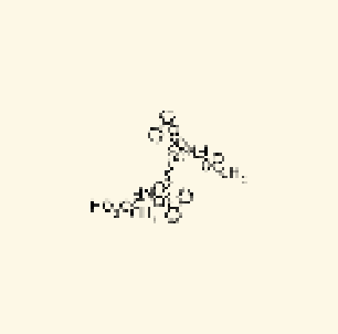 C=CC(=O)OCCNC(=O)OC(COc1ccccc1-c1ccccc1)CSCCSCC(COc1ccccc1-c1ccccc1)OC(=O)NCCC(=C)C(=O)O